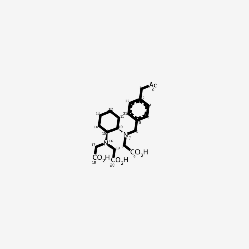 CC(=O)Cc1ccc(CN(CC(=O)O)[C@H]2CCCC[C@@H]2N(CC(=O)O)CC(=O)O)cc1